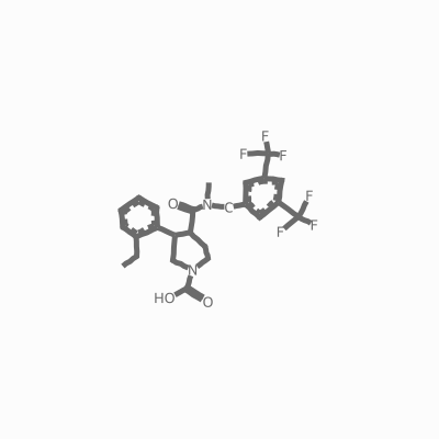 CCc1ccccc1C1CN(C(=O)O)CCC1C(=O)N(C)Cc1cc(C(F)(F)F)cc(C(F)(F)F)c1